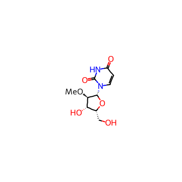 CO[C@@H]1[C@@H](O)[C@@H](CO)O[C@H]1n1ccc(=O)[nH]c1=O